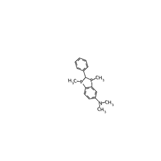 CN(C)c1ccc2c(c1)P(C)C(c1ccccc1)P2C